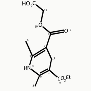 CCOC(=O)C1=C(C)NC(C)=C(C(=O)OCC(=O)O)C1